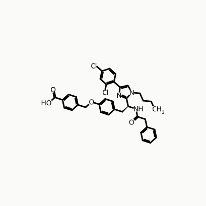 CCCCn1cc(-c2ccc(Cl)cc2Cl)nc1[C@H](Cc1ccc(OCc2ccc(C(=O)O)cc2)cc1)NC(=O)Cc1ccccc1